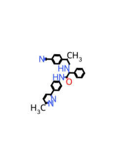 Cc1ccc(-c2ccc(NC(=O)C(NC[C@@H](C)c3ccc(C#N)cc3)c3ccccc3)cc2)nn1